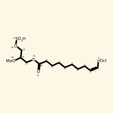 CCCCCCCC/C=C\CCCCCCCC(=O)OCC(COS(=O)(=O)O)OC